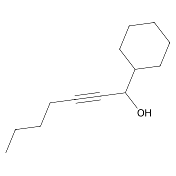 CCCCC#CC(O)C1CCCCC1